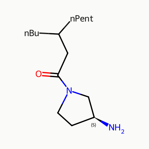 CCCCCC(CCCC)CC(=O)N1CC[C@H](N)C1